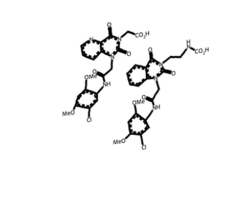 COc1cc(OC)c(NC(=O)Cn2c(=O)n(CC(=O)O)c(=O)c3ncccc32)cc1Cl.COc1cc(OC)c(NC(=O)Cn2c(=O)n(CCNC(=O)O)c(=O)c3ccccc32)cc1Cl